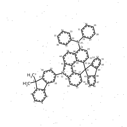 CC1(C)c2ccccc2-c2cc(-n3c4cccc5c4c4c6c(ccc(N(c7ccccc7)c7ccccc7)c6ccc43)C53c4ccccc4-c4ccccc43)ccc21